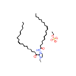 CCCCCCCC/C=C\CCCCCCCC(=O)N[N+]1=C(C(=O)CCCCCCC/C=C\CCCCCCCC)N(CC)CC1.CCOS(=O)(=O)[O-]